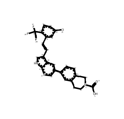 O=C(O)N1CCc2cc(-c3cnc4[nH]cc(/C=C/c5cc(Cl)ccc5C(F)(F)F)c4c3)ccc2C1